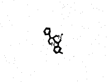 Cc1ccc2c(c1)c1c3n2CCC(c2ccccc2)C3CN(C)C1